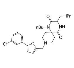 CCCCN1C(=O)C(CC(C)C)NC(=O)C12CCN(Cc1ccc(-c3cccc(Cl)c3)o1)CC2